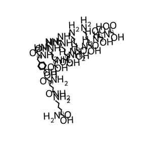 N=C(N)NCCC[C@H](N)C(=O)O.N=C(N)NCCC[C@H](N)C(=O)O.NC(=O)CC[C@H](N)C(=O)O.NCCCC[C@H](N)C(=O)O.NCCCC[C@H](N)C(=O)O.NCCCC[C@H](N)C(=O)O.N[C@@H](CO)C(=O)O.N[C@@H](CO)C(=O)O.N[C@@H](Cc1ccc(O)cc1)C(=O)O